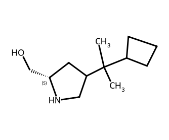 CC(C)(C1CCC1)C1CN[C@H](CO)C1